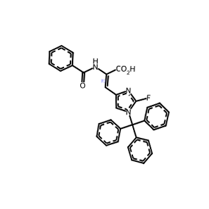 O=C(O)/C(=C\c1cn(C(c2ccccc2)(c2ccccc2)c2ccccc2)c(F)n1)NC(=O)c1ccccc1